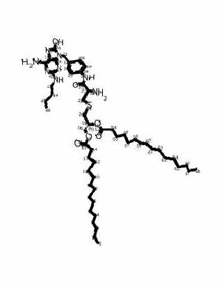 CCCCCCCCCCCCCCCC(=O)OC[C@H](CSCC(N)C(=O)Nc1ccc(Cn2c(O)nc3c(N)nc(NCCCC)nc32)cc1)OC(=O)CCCCCCCCCCCCCCC